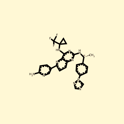 C[C@@H](Nc1nc(NC2(C(F)(F)F)CC2)c2nc(-c3ccc(N)nc3)ccc2n1)c1ccc(-n2cncn2)cc1